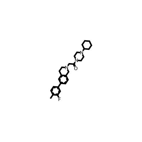 Cc1ccc(-c2ccc3c(c2)CCN(CC(=O)N2CCN(C4CCCCC4)CC2)C3)cc1F